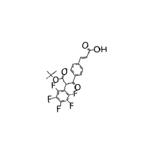 CC(C)(C)OC(=O)C(C(=O)c1ccc(C=CC(=O)O)cc1)c1c(F)c(F)c(F)c(F)c1F